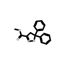 COC(=O)C1=NOC(c2ccccc2)(c2ccccc2)C1